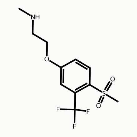 CNCCOc1ccc(S(C)(=O)=O)c(C(F)(F)F)c1